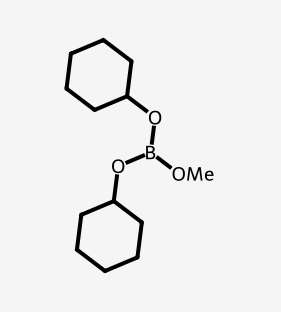 COB(OC1CCCCC1)OC1CCCCC1